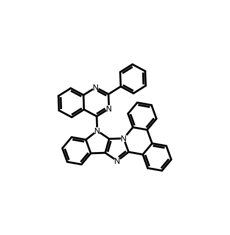 c1ccc(-c2nc(-n3c4ccccc4c4nc5c6ccccc6c6ccccc6n5c43)c3ccccc3n2)cc1